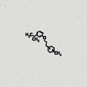 CC(C)c1cccc(OCCCN2CCN(C)CC2)c1